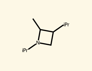 CC(C)C1CN(C(C)C)C1C